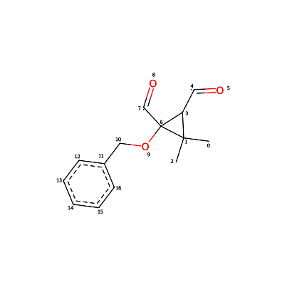 CC1(C)C([C]=O)C1([C]=O)OCc1ccccc1